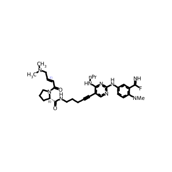 CCCNc1nc(Nc2ccc(NC)c(C(=N)F)c2)ncc1C#CCCCNC(=O)[C@@H]1CCCN1C(=O)/C=C/CN(C)C